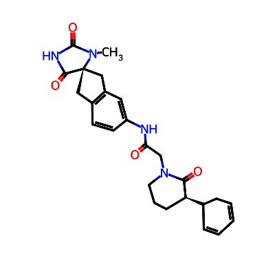 CN1C(=O)NC(=O)[C@]12Cc1ccc(NC(=O)CN3CCC[C@H](C4C=CC=CC4)C3=O)cc1C2